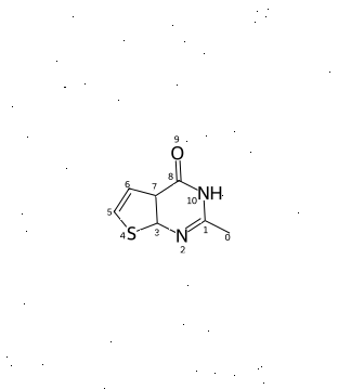 CC1=NC2SC=CC2C(=O)N1